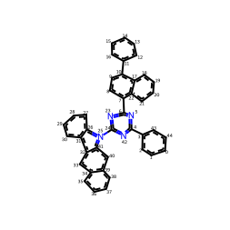 c1ccc(-c2nc(-c3ccc(-c4ccccc4)c4ccccc34)nc(-n3c4ccccc4c4cc5ccccc5cc43)n2)cc1